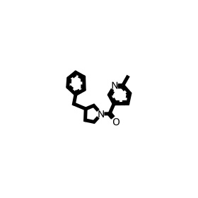 Cc1ccc(C(=O)N2CCC(Cc3ccccc3)C2)cn1